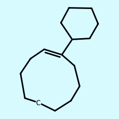 C1=C(C2CCCCC2)CCCCCCCC1